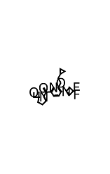 O=C(c1ccc(N2CC(F)(F)C2)c(OCC2CC2)n1)N1CCCC12COC2